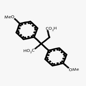 COc1ccc(C(CC(=O)O)(C(=O)O)c2ccc(OC)cc2)cc1